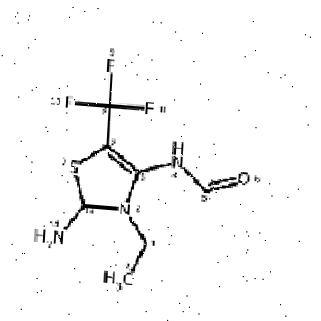 CCN1C(NC=O)=C(C(F)(F)F)SC1N